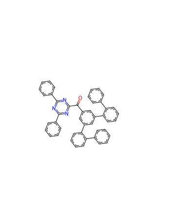 O=C(c1cc(-c2ccccc2-c2ccccc2)cc(-c2ccccc2-c2ccccc2)c1)c1nc(-c2ccccc2)nc(-c2ccccc2)n1